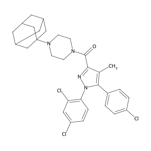 Cc1c(C(=O)N2CCN(C34CC5CC(CC(C5)C3)C4)CC2)nn(-c2ccc(Cl)cc2Cl)c1-c1ccc(Cl)cc1